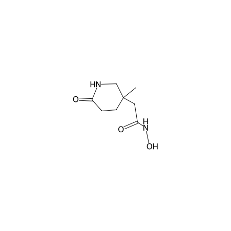 CC1(CC(=O)NO)CCC(=O)NC1